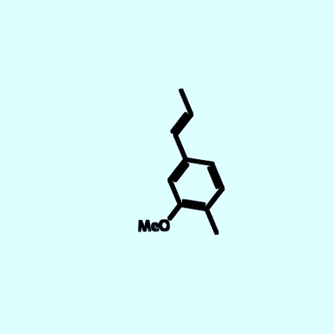 C/C=C/c1ccc(C)c(OC)c1